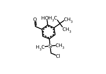 CC(C)(C)c1cc([Si](C)(C)CCl)cc(C=O)c1O